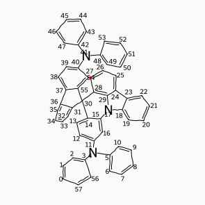 c1ccc(N(c2ccccc2)c2ccc3c(c2)-n2c4ccccc4c4cccc(c42)C32c3ccccc3-c3ccc(N(c4ccccc4)c4ccccc4)cc32)cc1